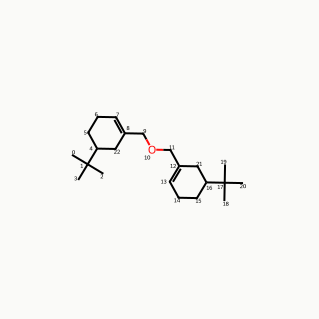 CC(C)(C)C1CCC=C(COCC2=CCCC(C(C)(C)C)C2)C1